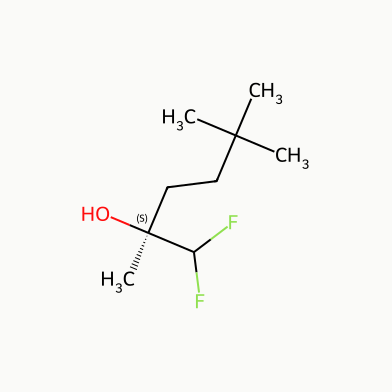 CC(C)(C)CC[C@](C)(O)C(F)F